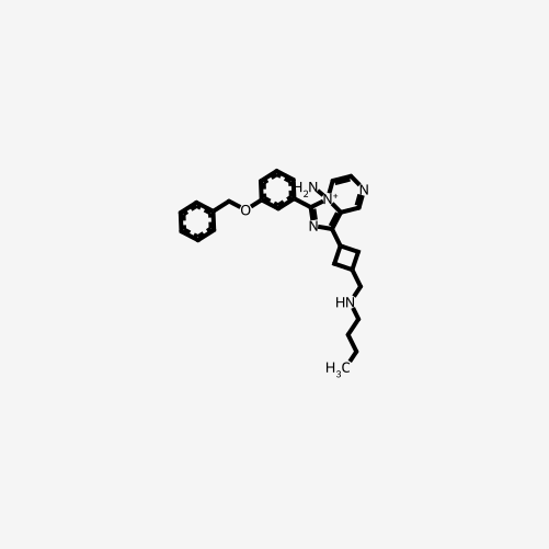 CCCCNCC1CC(C2=C3C=NC=C[N+]3(N)C(c3cccc(OCc4ccccc4)c3)=N2)C1